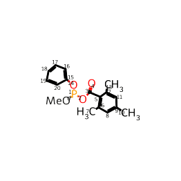 COP(OC(=O)c1c(C)cc(C)cc1C)Oc1ccccc1